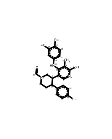 Cc1c(S)ncc(C2CN(C=O)CCC2c2ccc(F)cc2)c1Nc1ccc(F)c(F)c1